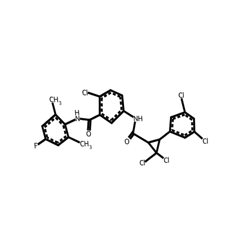 Cc1cc(F)cc(C)c1NC(=O)c1cc(NC(=O)C2C(c3cc(Cl)cc(Cl)c3)C2(Cl)Cl)ccc1Cl